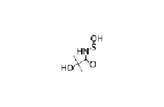 CC(C)(O)C(=O)NSO